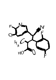 CC(C(=O)O)C(c1cc(F)ccc1F)C(C#N)c1cnc(F)c(Cl)c1